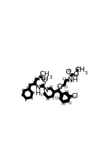 CNCC(CC1CCCCC1)NC(=S)N1CCCC(C(OCCNC(=O)OC)c2cccc(Cl)c2)C1